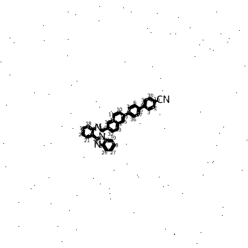 N#Cc1ccc(-c2ccc(-c3ccc4cc(-c5nc6ccccc6c6nc7ccccc7n56)ccc4c3)cc2)cc1